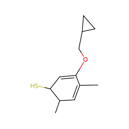 CC1=CC(C)C(S)C=C1OCC1CC1